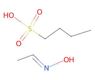 CC=NO.CCCCS(=O)(=O)O